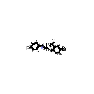 O=c1[nH]c(/C=C/c2ccc(F)cc2)nc2ccc(Br)cc12